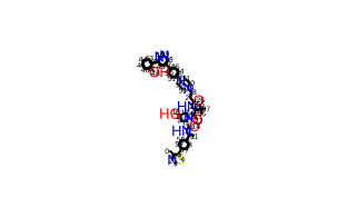 Cc1ncsc1-c1ccc(C(C)NC(=O)[C@@H]2C[C@@H](O)CN2C(=O)C(NC(=O)CCN2CCN(c3ccc(-c4cnnc(-c5ccccc5O)c4)cc3)CC2)C(C)(C)C)cc1